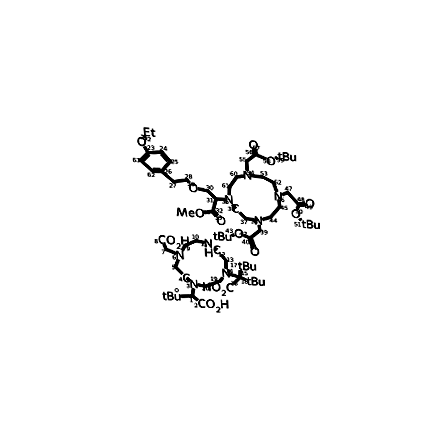 CC(C)(C)C(C(=O)O)N1CCN(CC(=O)O)CCNCCN(C(C(=O)O)(C(C)(C)C)C(C)(C)C)CC1.CCOc1ccc(CCOCC(C(=O)OC)N2CCN(CC(=O)OC(C)(C)C)CCN(CC(=O)OC(C)(C)C)CCN(CC(=O)OC(C)(C)C)CC2)cc1